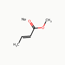 CC=CC(=O)OC.[Na]